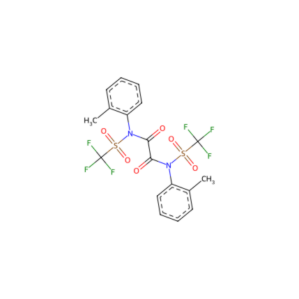 Cc1ccccc1N(C(=O)C(=O)N(c1ccccc1C)S(=O)(=O)C(F)(F)F)S(=O)(=O)C(F)(F)F